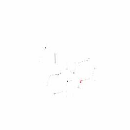 C[Si](C)(C)C1(C2([Si](C)(C)CCC(F)(F)F)CCCCO2)CCCCO1